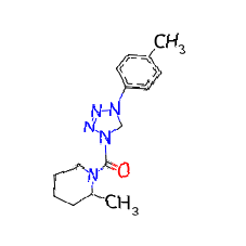 Cc1ccc(N2CN(C(=O)N3CCCCC3C)N=N2)cc1